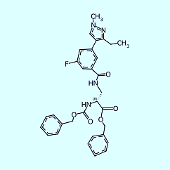 CCc1nn(C)cc1-c1cc(F)cc(C(=O)NC[C@@H](NC(=O)OCc2ccccc2)C(=O)OCc2ccccc2)c1